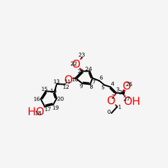 CCO/C(=C\CCc1ccc(OCCc2ccc(O)cc2)c(OC)c1)C(=O)O